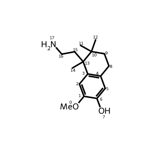 COc1cc2c(cc1O)CCC(C)(C)C2(C)CCN